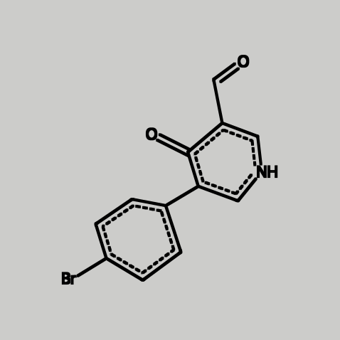 O=Cc1c[nH]cc(-c2ccc(Br)cc2)c1=O